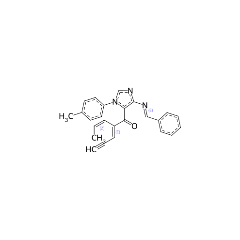 C#C/C=C(\C=C/C)C(=O)c1c(/N=C/c2ccccc2)ncn1-c1ccc(C)cc1